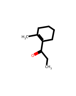 CCC(=O)C1=C(C)CCCC1